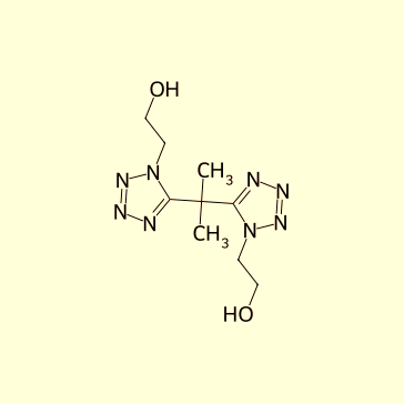 CC(C)(c1nnnn1CCO)c1nnnn1CCO